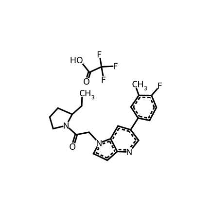 CCC1CCCN1C(=O)Cn1ccc2ncc(-c3ccc(F)c(C)c3)cc21.O=C(O)C(F)(F)F